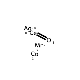 [Ag].[Co].[Mn].[O]=[Ce]